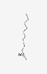 CCCCCCCC[CH2][Mg][CH3]